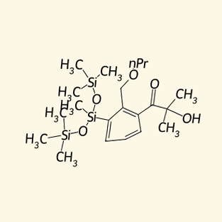 CCCOCc1c(C(=O)C(C)(C)O)cccc1[Si](C)(O[Si](C)(C)C)O[Si](C)(C)C